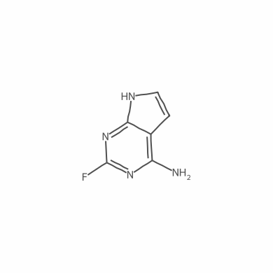 Nc1nc(F)nc2[nH]ccc12